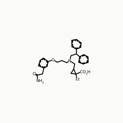 CCC1(C(=O)O)CC1CN(CCCOc1cccc(CC(N)=O)c1)CC(c1ccccc1)c1ccccc1